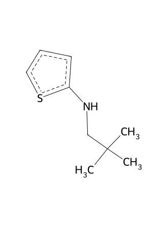 CC(C)(C)CNc1cccs1